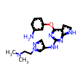 CN(C)CCn1cc(Nc2nc(Oc3cccc(N)c3)c3cc[nH]c3n2)cn1